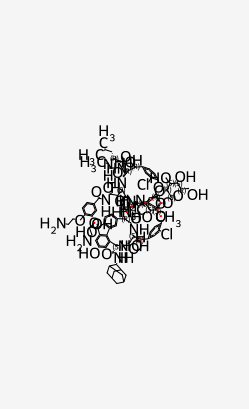 CN[C@H](CC(C)C)C(=O)N[C@H]1C(=O)N[C@@H](CC(=O)NC(=O)c2ccc(OCCN)c(OCCN)c2)C(=O)N[C@H]2C(=O)N[C@H]3C(=O)N[C@H](C(=O)N[C@H](C(=O)NC4C5CC6CC(C5)CC4C6)c4cc(O)cc5c4-c4cc3ccc4C5(O)O)[C@H](O)c3ccc(c(Cl)c3)Oc3cc2cc(c3O[C@@H]2O[C@H](CO)[C@@H](O)[C@H](O)[C@H]2O[C@H]2C[C@](C)(N)[C@H](O)[C@H](C)O2)Oc2ccc(cc2Cl)[C@H]1O